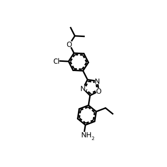 CCc1cc(N)ccc1-c1nc(-c2ccc(OC(C)C)c(Cl)c2)no1